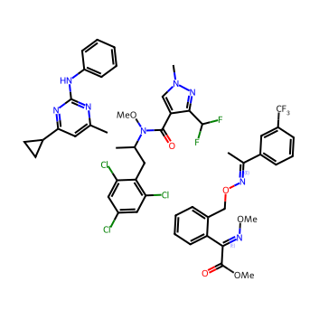 CO/N=C(/C(=O)OC)c1ccccc1CO/N=C(\C)c1cccc(C(F)(F)F)c1.CON(C(=O)c1cn(C)nc1C(F)F)C(C)Cc1c(Cl)cc(Cl)cc1Cl.Cc1cc(C2CC2)nc(Nc2ccccc2)n1